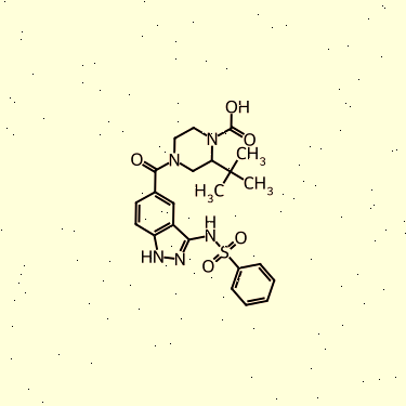 CC(C)(C)C1CN(C(=O)c2ccc3[nH]nc(NS(=O)(=O)c4ccccc4)c3c2)CCN1C(=O)O